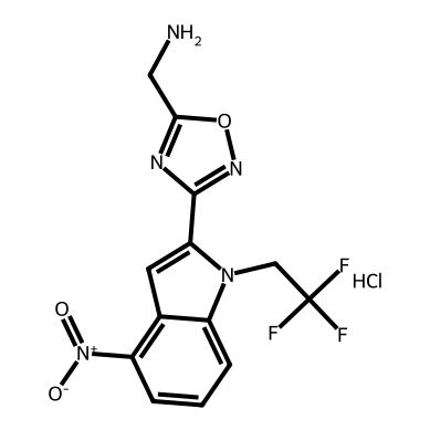 Cl.NCc1nc(-c2cc3c([N+](=O)[O-])cccc3n2CC(F)(F)F)no1